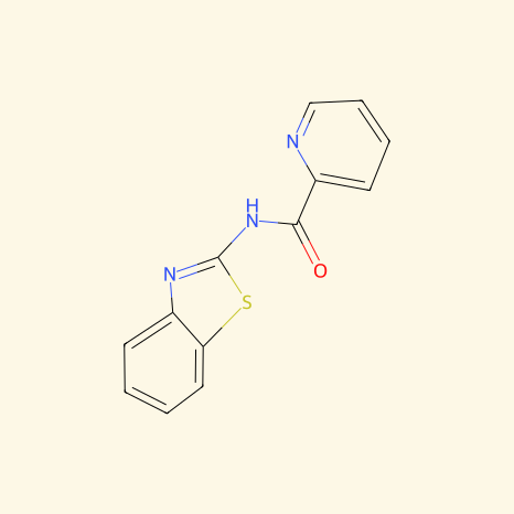 O=C(Nc1nc2ccccc2s1)c1ccccn1